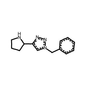 c1ccc(Cn2cc(C3CCCN3)nn2)cc1